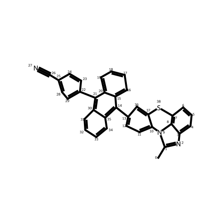 Cc1nc2cccc3c2n1-c1ccc(-c2c4ccccc4c(-c4ccc(C#N)cc4)c4ccccc24)cc1S3